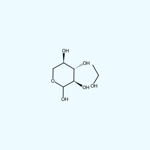 CCO.OC1OC[C@@H](O)[C@H](O)[C@H]1O